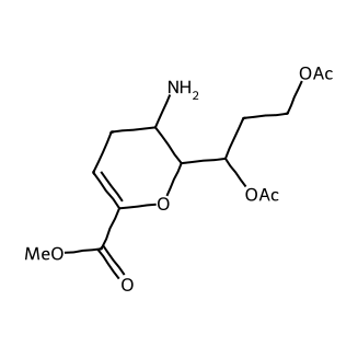 COC(=O)C1=CCC(N)C(C(CCOC(C)=O)OC(C)=O)O1